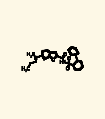 CCCN(C)c1ccc2cc(C(=O)NS(=O)(=O)c3ccccc3-c3ccccc3)oc2c1